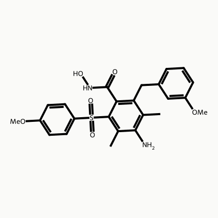 COc1ccc(S(=O)(=O)c2c(C)c(N)c(C)c(Cc3cccc(OC)c3)c2C(=O)NO)cc1